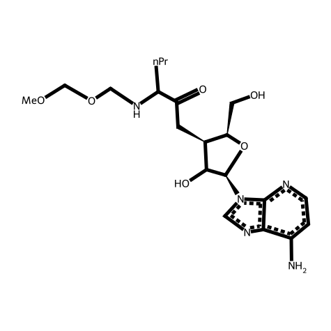 CCCC(NCOCOC)C(=O)C[C@@H]1C(O)[C@H](n2cnc3c(N)ccnc32)O[C@@H]1CO